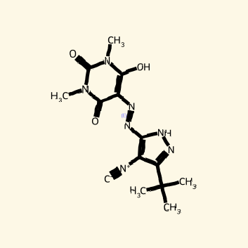 [C-]#[N+]c1c(C(C)(C)C)n[nH]c1/N=N/c1c(O)n(C)c(=O)n(C)c1=O